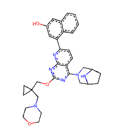 Oc1cc(-c2ccc3c(N4CC5CCC(C4)N5)nc(OCC4(CN5CCOCC5)CC4)nc3n2)c2ccccc2c1